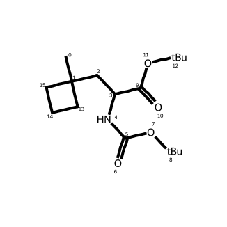 CC1(CC(NC(=O)OC(C)(C)C)C(=O)OC(C)(C)C)CCC1